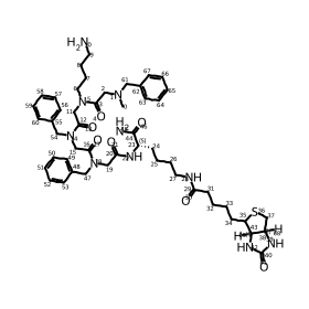 CN(CC(=O)N(CCCCN)CC(=O)N(CC(=O)N(CC(=O)N[C@@H](CCCCNC(=O)CCCCC1SC[C@@H]2NC(=O)N[C@H]12)C(N)=O)Cc1ccccc1)Cc1ccccc1)Cc1ccccc1